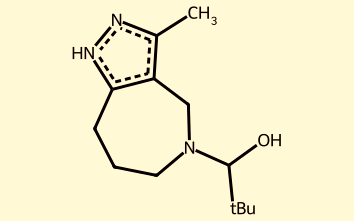 Cc1n[nH]c2c1CN(C(O)C(C)(C)C)CCC2